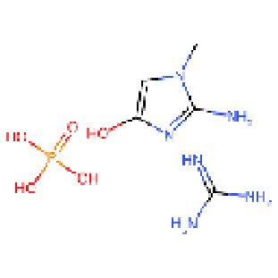 Cn1cc(O)nc1N.N=C(N)N.O=P(O)(O)O